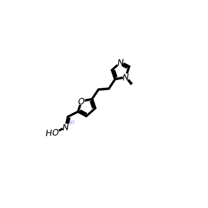 Cn1cncc1CCc1ccc(/C=N/O)o1